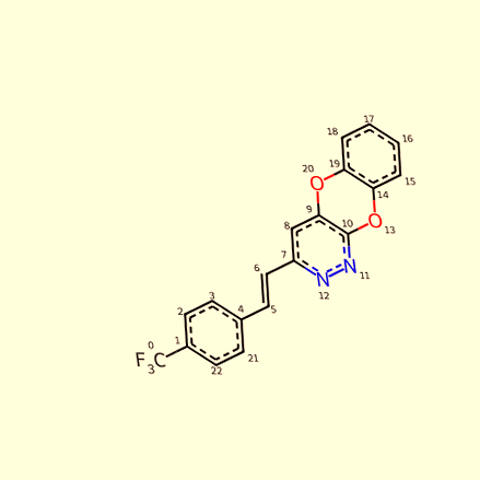 FC(F)(F)c1ccc(/C=C/c2cc3c(nn2)Oc2ccccc2O3)cc1